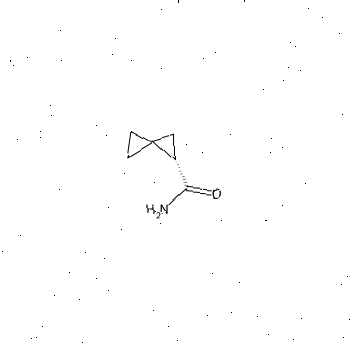 NC(=O)[C@H]1CC12CC2